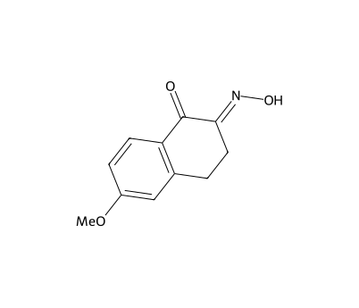 COc1ccc2c(c1)CCC(=NO)C2=O